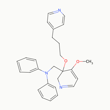 COC1=CC=NCC1(CN(c1ccccc1)c1ccccc1)OCCCc1ccncc1